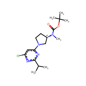 CC(C)c1nc(Cl)cc(N2CC[C@@H](N(C)C(=O)OC(C)(C)C)C2)n1